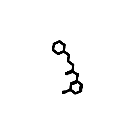 O=C(CCCC1CCCCC1)OC1=CC(Cl)CC=C1